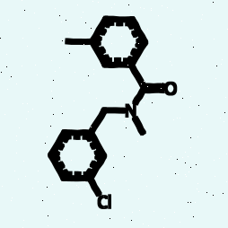 Cc1cccc(C(=O)N(C)Cc2cccc(Cl)c2)c1